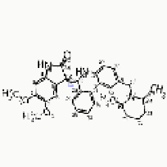 COc1cc2c(cc1OC)/C(=C(/Nc1ccc(CN3C(C)CCCC3C)cc1)c1ccccc1)C(=O)N2